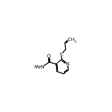 C=CCSc1ncccc1C(=O)NC